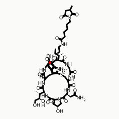 CC[C@H](C)[C@@H]1NC(=O)CNC(=O)[C@@H]2Cc3c([nH]c4c(CSCCNC(=O)CCCCCN5C(=O)CC(C)C5=O)c(O)ccc34)[S+]([O-])C[C@H](NC(=O)CNC1=O)C(=O)N[C@@H](CC(N)=O)C(=O)N1C[C@H](O)C[C@H]1C(=O)N[C@@H]([C@@H](C)[C@@H](O)CO)C(=O)N2